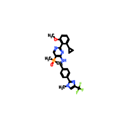 COc1cccc(C2CC2)c1-c1ncc(P(C)(C)=O)c(NCc2ccc(-c3nc(C(F)(F)F)cn3C)cc2)n1